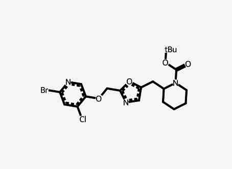 CC(C)(C)OC(=O)N1CCCCC1Cc1cnc(COc2cnc(Br)cc2Cl)o1